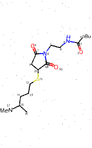 CCCCC(=O)NCCN1C(=O)CC(SCCCC(C)NC)C1=O